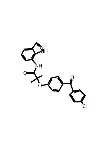 CC(C)(Oc1ccc(C(=O)c2ccc(Cl)cc2)cc1)C(=O)Nc1cccc2cn[nH]c12